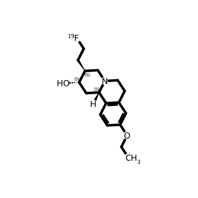 CCOc1ccc2c(c1)CCN1C[C@H](CC[19F])[C@@H](O)C[C@@H]21